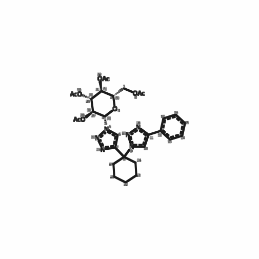 CC(=O)OC[C@@H]1O[C@H](n2cc(C3(n4cc(-c5ccccc5)nn4)CCCCC3)nn2)[C@@H](OC(C)=O)[C@H](OC(C)=O)[C@H]1OC(C)=O